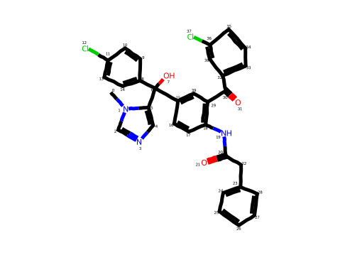 Cn1cncc1C(O)(c1ccc(Cl)cc1)c1ccc(NC(=O)Cc2ccccc2)c(C(=O)c2cccc(Cl)c2)c1